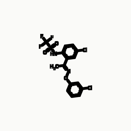 C/C(=N\Oc1cccc(Cl)c1)c1cc(Cl)ccc1NS(=O)(=O)C(F)(F)F